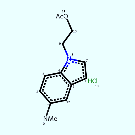 CNc1ccc2c(ccn2CCOC(C)=O)c1.Cl